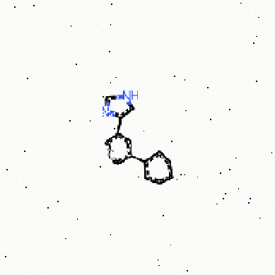 [c]1nc(-c2cccc(-c3ccccc3)c2)c[nH]1